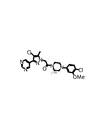 COc1cc(N2CCN(C(=O)Cn3nc(-c4cncnc4)c(Cl)c3C)[C@@H](C)C2)ccc1Cl